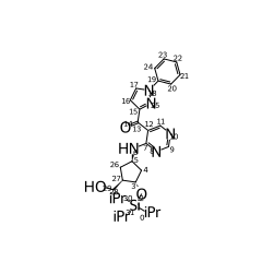 CC(C)[Si](O[C@H]1C[C@H](Nc2ncncc2C(=O)c2ccn(-c3ccccc3)n2)C[C@@H]1CO)(C(C)C)C(C)C